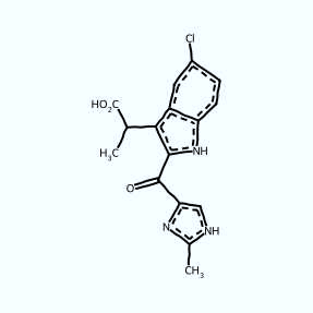 Cc1nc(C(=O)c2[nH]c3ccc(Cl)cc3c2C(C)C(=O)O)c[nH]1